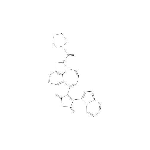 O=C1NC(=O)C(c2cnc3ccccn23)=C1C1=NC=CN2c3c(cccc31)CC2C(=S)N1CCOCC1